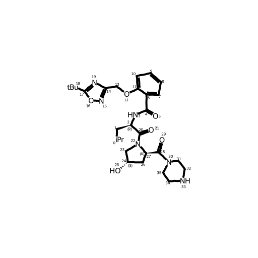 CC(C)C[C@@H](NC(=O)c1ccccc1OCc1noc(C(C)(C)C)n1)C(=O)N1C[C@@H](O)C[C@@H]1C(=O)N1CCNCC1